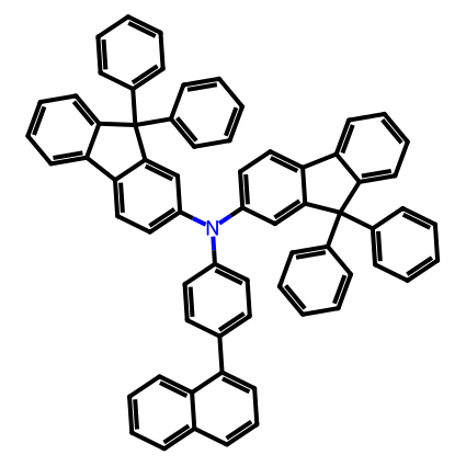 c1ccc(C2(c3ccccc3)c3ccccc3-c3ccc(N(c4ccc(-c5cccc6ccccc56)cc4)c4ccc5c(c4)C(c4ccccc4)(c4ccccc4)c4ccccc4-5)cc32)cc1